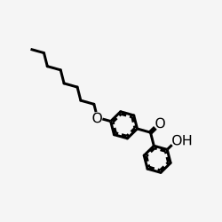 CCCCCCCCOc1ccc(C(=O)c2ccccc2O)cc1